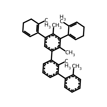 CC1=CCCC=C1c1c(C)c(C2=C(C)CCC=C2)cc(-c2cccc(-c3ccccc3C)c2C)c1C